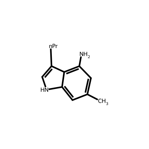 CCCc1c[nH]c2cc(C)cc(N)c12